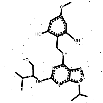 COc1cc(O)c(CNc2nc(NC(CO)C(C)C)nc3c2nnn3C(C)C)c(O)c1